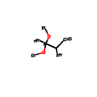 CCCC(C=O)[Si](CCC)(OCC)OCC